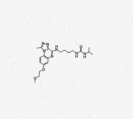 COCCOc1ccc2c(c1)nc(NCCCCNC(=O)NC(C)C)c1nnc(C)n12